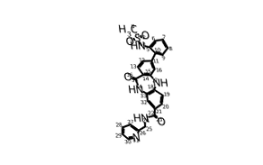 CS(=O)(=O)Nc1ccccc1-c1ccc2c(c1)Nc1ccc(C(=O)NCc3ccccn3)cc1NC2=O